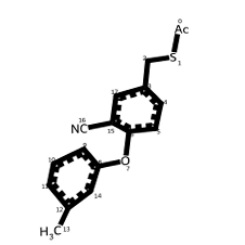 CC(=O)SCc1ccc(Oc2cccc(C)c2)c(C#N)c1